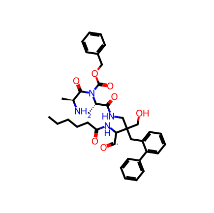 CCCCCC(=O)NC([C]=O)C(CO)(CNC(=O)[C@H](C)N(C(=O)OCc1ccccc1)C(=O)[C@H](C)N)Cc1ccccc1-c1ccccc1